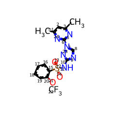 Cc1cc(C)nc(-n2cnc(NS(=O)(=O)c3ccccc3OC(F)(F)F)n2)n1